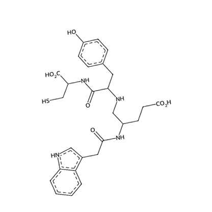 O=C(O)CCC(CNC(Cc1ccc(O)cc1)C(=O)NC(CS)C(=O)O)NC(=O)Cc1c[nH]c2ccccc12